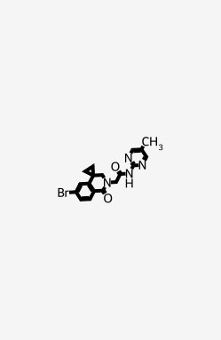 Cc1cnc(NC(=O)CN2CC3(CC3)c3cc(Br)ccc3C2=O)nc1